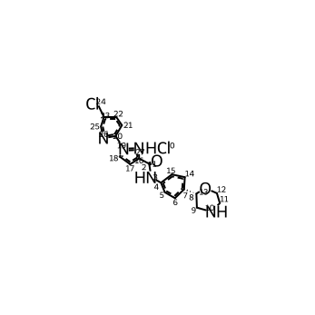 Cl.O=C(Nc1ccc([C@H]2CNCCO2)cc1)c1ccn(-c2ccc(Cl)cn2)n1